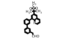 CC(C)(c1cc(-c2cccc(-c3cccc(CC=O)c3)c2)c2ncccc2c1)S(C)(=O)=O